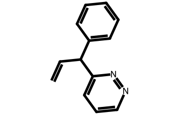 C=CC(c1ccccc1)c1cccnn1